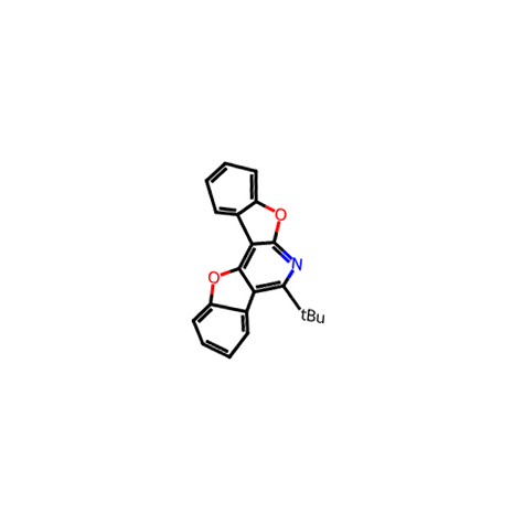 CC(C)(C)c1nc2oc3ccccc3c2c2oc3ccccc3c12